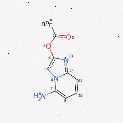 CCCC(=O)Oc1cn2c(N)cccc2n1